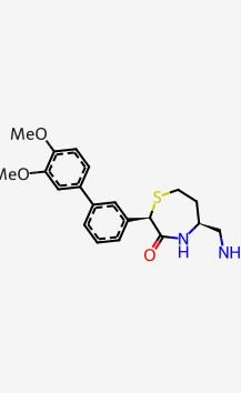 COc1ccc(-c2cccc([C@H]3SCC[C@@H](CN)NC3=O)c2)cc1OC